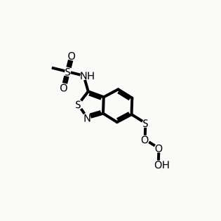 CS(=O)(=O)Nc1snc2cc(SOOO)ccc12